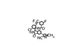 Cn1cc(-c2cc(NC(=O)c3cc(F)cc(C(F)(F)F)c3)c3c(c2)C(=O)N[C@H]3c2cc(F)ccc2Cl)c(C#N)n1